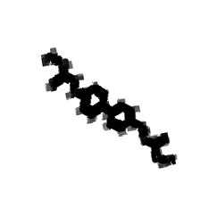 CC(C)OC(=S)SSc1ccc(-c2ccc(SSC(=S)OC(C)C)cc2)cc1